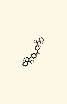 C[C@@H](c1ccc(-c2cnc3ccccc3c2Cl)cc1)C1CCN(C(=O)[C@H]2CCCO2)CC1